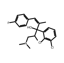 C/C(=C/c1ccc(F)cc1)C(O)(c1cccc(Cl)c1Cl)C(C)CN(C)C